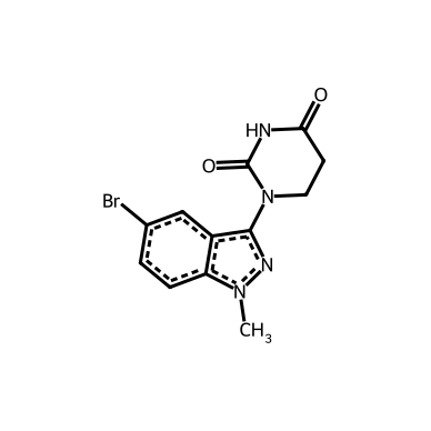 Cn1nc(N2CCC(=O)NC2=O)c2cc(Br)ccc21